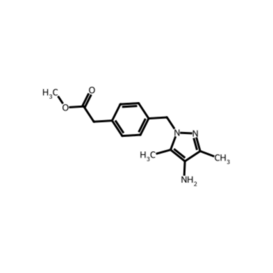 COC(=O)Cc1ccc(Cn2nc(C)c(N)c2C)cc1